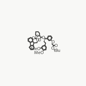 COc1ccc(CC[C@@H](OC(=O)[C@@H]2CCCCN2C(=O)OCC2c3ccccc3-c3ccccc32)c2cccc(OCC(=O)OC(C)(C)C)c2)cc1OC